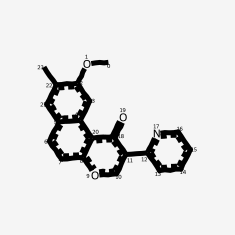 COc1cc2c(ccc3occ(-c4ccccn4)c(=O)c32)cc1C